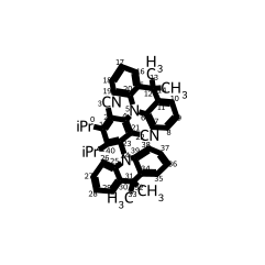 CC(C)c1c(C#N)c(N2c3ccccc3C(C)(C)c3ccccc32)c(C#N)c(N2c3ccccc3C(C)(C)c3ccccc32)c1C(C)C